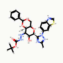 Cc1nc([C@@H]2OC3COC(c4ccccc4)O[C@@H]3C(NNC(=O)OC(C)(C)C)C2O)n(-c2ccc3ncsc3c2)n1